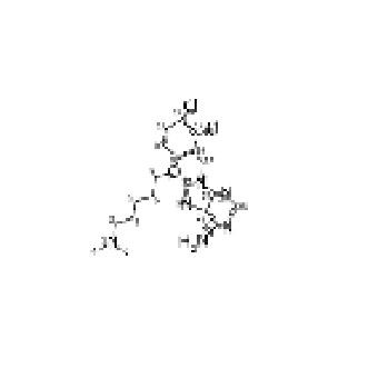 CN(C)CCCCCOc1ccc(Cl)c(Cl)c1Cn1cnc2c(N)ncnc21